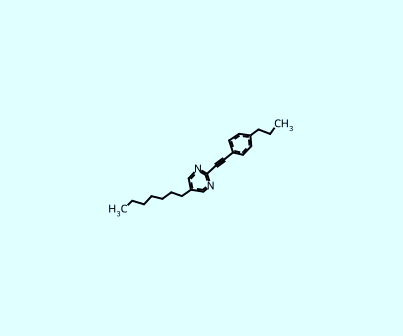 CCCCCCCc1cnc(C#Cc2ccc(CCC)cc2)nc1